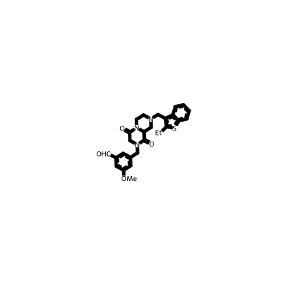 CCc1sc2ccccc2c1CN1CCN2C(=O)CN(Cc3cc(C=O)cc(OC)c3)C(=O)C2C1